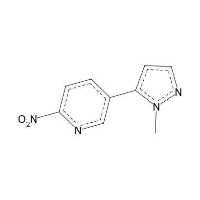 Cn1nccc1-c1ccc([N+](=O)[O-])nc1